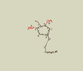 CCCCCCCCc1cc(O)c(C)c(O)c1